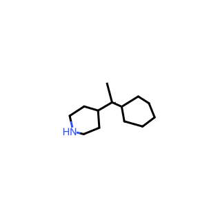 C[C](C1CCCCC1)C1CCNCC1